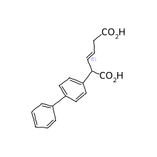 O=C(O)C/C=C/C(C(=O)O)c1ccc(-c2ccccc2)cc1